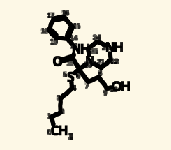 CCCCCSC(CCCO)(C(=O)Nc1ccccc1)N1CCNCC1